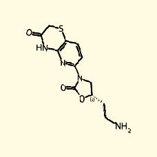 NCC[C@H]1CN(c2ccc3c(n2)NC(=O)CS3)C(=O)O1